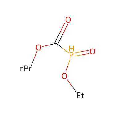 CCCOC(=O)[PH](=O)OCC